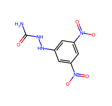 NC(=O)NNc1cc([N+](=O)[O-])cc([N+](=O)[O-])c1